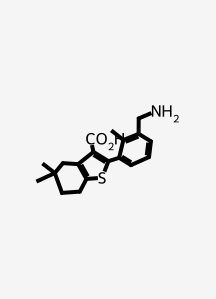 Cc1c(CN)cccc1-c1sc2c(c1C(=O)O)CC(C)(C)CC2